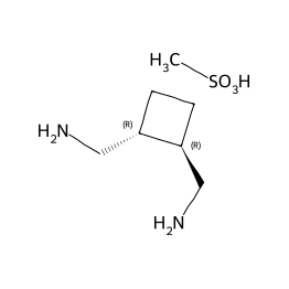 CS(=O)(=O)O.NC[C@@H]1CC[C@H]1CN